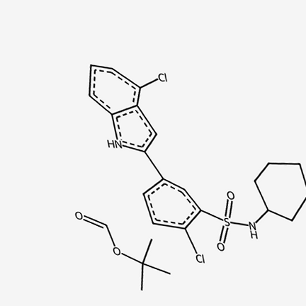 CC(C)(C)OC=O.O=S(=O)(NC1CCCCC1)c1cc(-c2cc3c(Cl)cccc3[nH]2)ccc1Cl